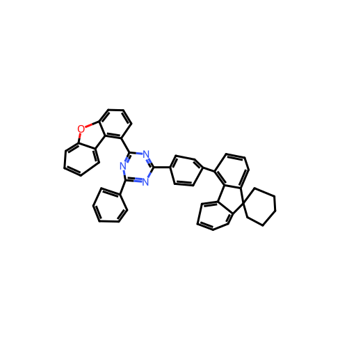 c1ccc(-c2nc(-c3ccc(-c4cccc5c4-c4ccccc4C54CCCCC4)cc3)nc(-c3cccc4oc5ccccc5c34)n2)cc1